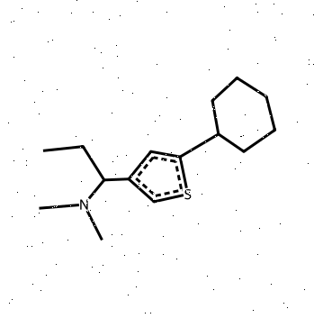 CCC(c1csc(C2CCCCC2)c1)N(C)C